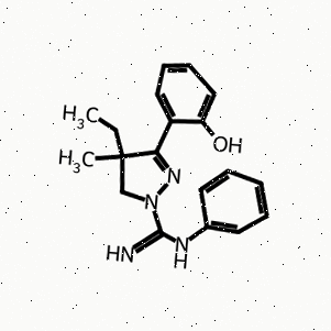 CCC1(C)CN(C(=N)Nc2ccccc2)N=C1c1ccccc1O